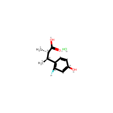 C[C@H](C(=O)O)[C@H](C)c1ccc(O)cc1F.Cl